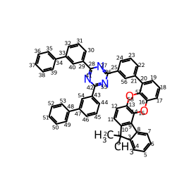 CC1(C)c2ccccc2-c2c1ccc1c2Oc2cccc(-c3cccc(-c4nc(-c5cccc(-c6ccccc6)c5)nc(-c5cccc(-c6ccccc6)c5)n4)c3)c2O1